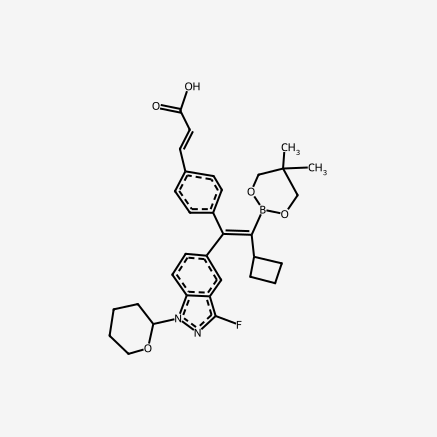 CC1(C)COB(C(=C(c2ccc(C=CC(=O)O)cc2)c2ccc3c(c2)c(F)nn3C2CCCCO2)C2CCC2)OC1